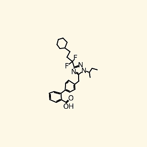 CCC(C)n1nc(C(F)(F)CCC2CCCCC2)nc1Cc1ccc(-c2ccccc2C(=O)O)cc1